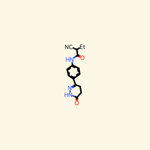 CCC(C#N)C(=O)Nc1ccc(C2=NNC(=O)CC2)cc1